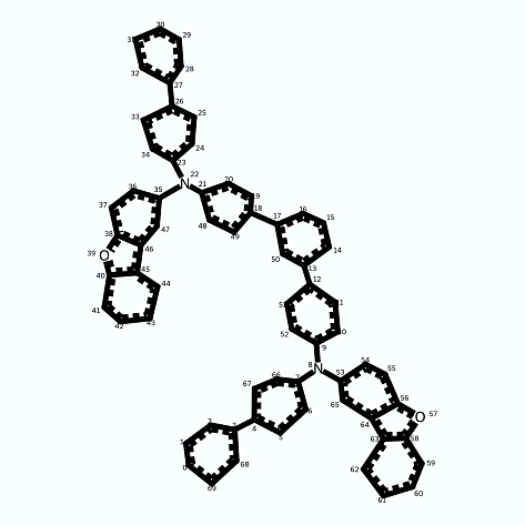 c1ccc(-c2ccc(N(c3ccc(-c4cccc(-c5ccc(N(c6ccc(-c7ccccc7)cc6)c6ccc7oc8ccccc8c7c6)cc5)c4)cc3)c3ccc4oc5ccccc5c4c3)cc2)cc1